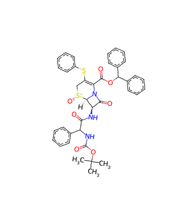 CC(C)(C)OC(=O)NC(C(=O)N[C@@H]1C(=O)N2C(C(=O)OC(c3ccccc3)c3ccccc3)=C(Sc3ccccc3)C[S+]([O-])[C@H]12)c1ccccc1